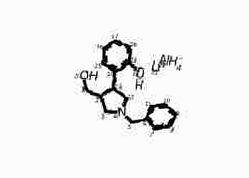 OCC1CN(Cc2ccccc2)CC1c1ccccc1O.[AlH4-].[Li+]